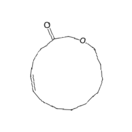 O=C1CCC=CCCCCCCCCOC1